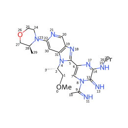 COC[C@H](C)n1c(-c2cn(C(C)=N)c(=N)c(NC(C)C)n2)nc2cnc(N3CCOC[C@@H]3C)cc21